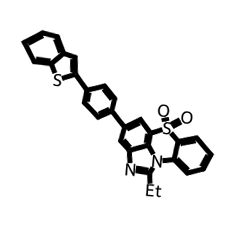 CCc1nc2cc(-c3ccc(-c4cc5ccccc5s4)cc3)cc3c2n1-c1ccccc1S3(=O)=O